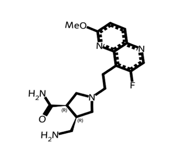 COc1ccc2ncc(F)c(CCN3C[C@@H](CN)[C@@H](C(N)=O)C3)c2n1